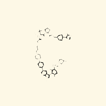 Cc1ncsc1-c1ccc(CNC(=O)[C@@H]2C[C@@H](O)CN2C(=O)[C@@H](NC(=O)COCCCN2CCN(c3ccc(-c4cnc5[nH]cc(-c6c(F)ccc(NS(=O)(=O)N7CC[C@@H](F)C7)c6F)c5c4)cc3)CC2)C(C)(C)C)cc1